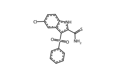 NC(=S)c1[nH]c2ccc(Cl)cc2c1S(=O)(=O)c1ccccc1